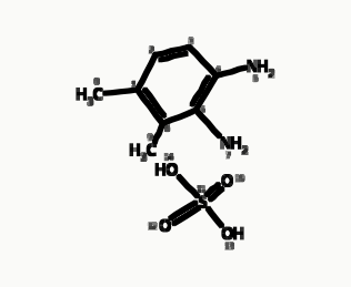 Cc1ccc(N)c(N)c1C.O=S(=O)(O)O